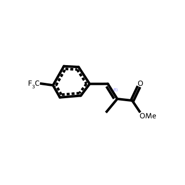 COC(=O)/C(C)=C/c1ccc(C(F)(F)F)cc1